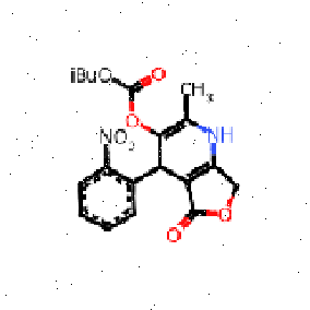 CC1=C(OC(=O)OCC(C)C)C(c2ccccc2[N+](=O)[O-])C2=C(COC2=O)N1